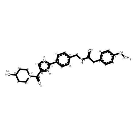 COc1ccc(CC(=O)NCc2ccc(-c3nc(C(=O)N4CCC(O)CC4)co3)cc2)cc1